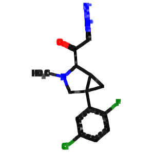 [N-]=[N+]=CC(=O)C1C2CC2(c2cc(Cl)ccc2F)CN1C(=O)O